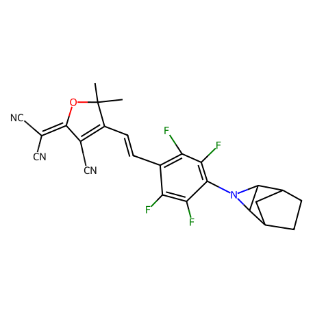 CC1(C)OC(=C(C#N)C#N)C(C#N)=C1/C=C/c1c(F)c(F)c(N2C3C4CCC(C4)C32)c(F)c1F